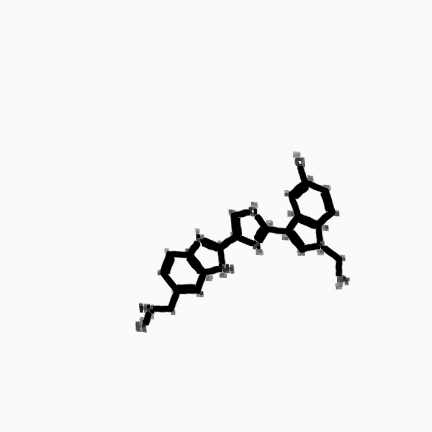 CCNCc1ccc2nc(-c3coc(-c4cn(CC(C)C)c5ccc(Cl)cc45)n3)[nH]c2c1